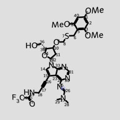 COc1cc(OC)c(CSCOC2C[C@H](n3cc(C#CCNC(=O)C(F)(F)F)c4c(/N=C/N(C)C)ncnc43)O[C@@H]2CO)c(OC)c1